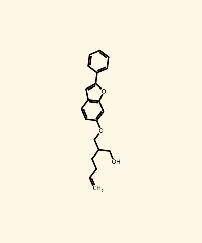 C=CCCC(CO)COc1ccc2cc(-c3ccccc3)oc2c1